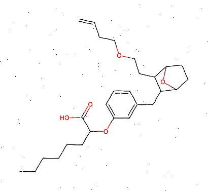 C=CCCOCCC1C2CCC(O2)C1Cc1cccc(OC(CCCCCC)C(=O)O)c1